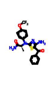 C[C@H](C(N)=O)N(c1ccc(OC(F)(F)F)cc1)c1nc(N)c(C(=O)c2ccccc2)s1